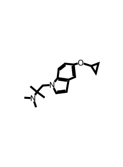 CN(C)C(C)(C)Cn1ccc2cc(OC3CC3)ccc21